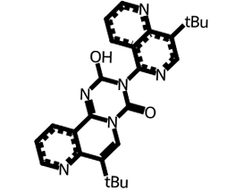 CC(C)(C)C1=CN2C(=O)N(c3ncc(C(C)(C)C)c4ncccc34)C(O)N=C2c2cccnc21